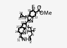 C=CCC(F)(F)Cn1c(-c2nc3cc(C(=O)OC)c(F)cc3n2C2CC2)cc2ccc([C@@H](C)N)nc21